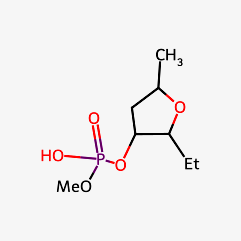 CCC1OC(C)CC1OP(=O)(O)OC